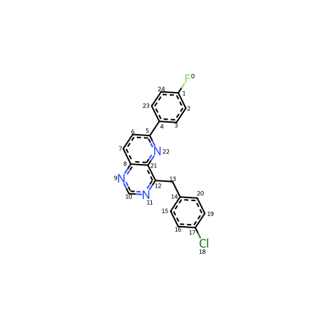 Fc1ccc(-c2ccc3ncnc(Cc4ccc(Cl)cc4)c3n2)cc1